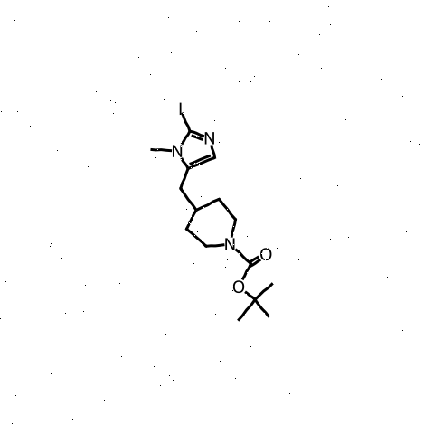 Cn1c(CC2CCN(C(=O)OC(C)(C)C)CC2)cnc1I